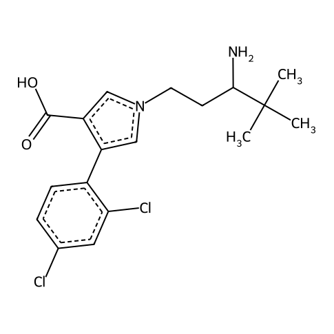 CC(C)(C)C(N)CCn1cc(C(=O)O)c(-c2ccc(Cl)cc2Cl)c1